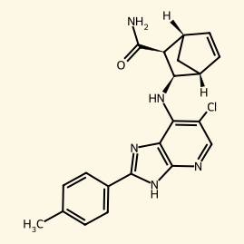 Cc1ccc(-c2nc3c(N[C@H]4[C@@H](C(N)=O)[C@@H]5C=C[C@H]4C5)c(Cl)cnc3[nH]2)cc1